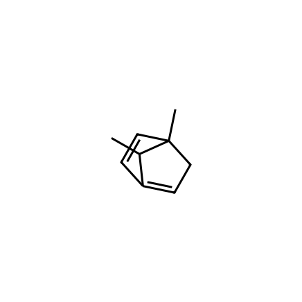 CC1C2=CCC1(C)C=C2